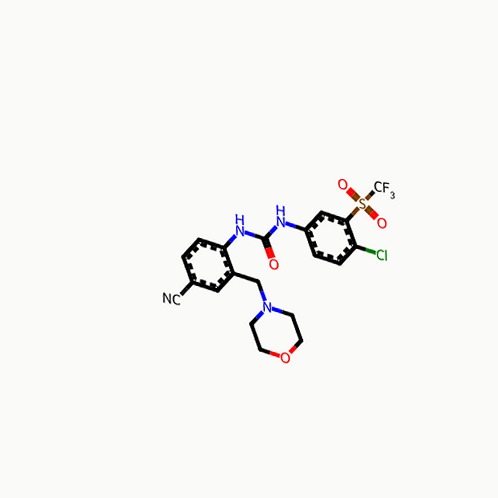 N#Cc1ccc(NC(=O)Nc2ccc(Cl)c(S(=O)(=O)C(F)(F)F)c2)c(CN2CCOCC2)c1